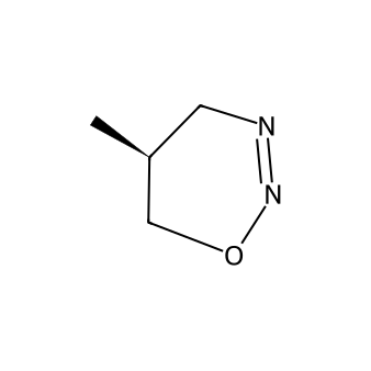 C[C@H]1CN=NOC1